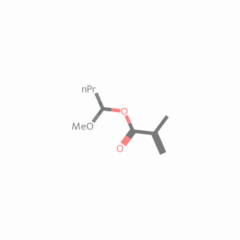 C=C(C)C(=O)OC(CCC)OC